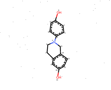 Oc1ccc(N2CCc3cc(O)ccc3C2)cc1